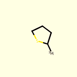 [2H][C]1CCCS1